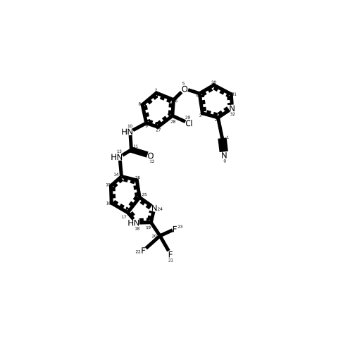 N#Cc1cc(Oc2ccc(NC(=O)Nc3ccc4[nH]c(C(F)(F)F)nc4c3)cc2Cl)ccn1